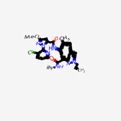 C=CCn1cc2cc(C)c(NC(=O)c3cc(OC)nn3-c3ncccc3Cl)c(C(=O)NC(C)C)c2n1